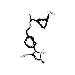 COC1=NN(C)[NH+]([O-])C1c1ccc(CON=C(C)c2cccc(C(F)(F)F)c2)cc1